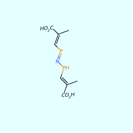 CC(=CP=NPC=C(C)C(=O)O)C(=O)O